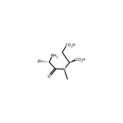 CC(C)[C@H](N)C(=O)N(C)[C@@H](CC(=O)O)C(=O)O